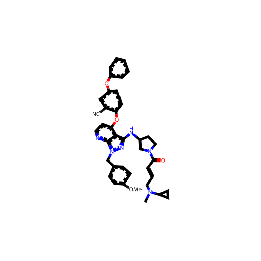 COc1ccc(Cn2nc(NC3CCN(C(=O)C=CCN(C)C4CC4)C3)c3c(Oc4ccc(Oc5ccccc5)cc4C#N)ccnc32)cc1